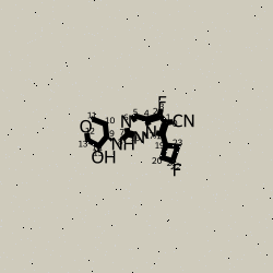 N#Cc1c(F)c2cnc(N[C@@H]3CCOC[C@H]3O)nn2c1C1CC(F)C1